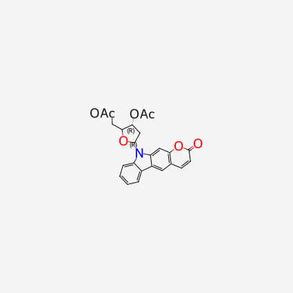 CC(=O)OCC1O[C@@H](n2c3ccccc3c3cc4ccc(=O)oc4cc32)C[C@H]1OC(C)=O